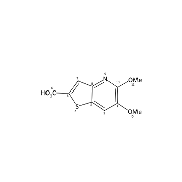 COc1cc2sc(C(=O)O)cc2nc1OC